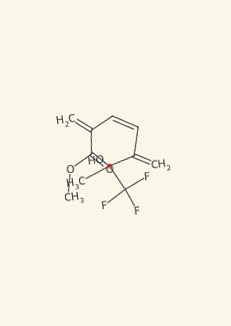 C=C(/C=C\C(=C)C(C)(O)C(F)(F)F)C(=O)OC